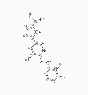 Cc1cccc(OCc2ncc(-c3nnc(C(F)F)o3)cc2F)c1C